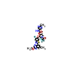 COc1cnc2c(-c3nc4cc(F)c(O[C@@H]5CN(C(=O)C(F)(F)F)CC[C@@H]5OC(=O)Nc5cnc(C)nc5)cc4s3)cc(C)cc2n1